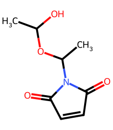 CC(O)OC(C)N1C(=O)C=CC1=O